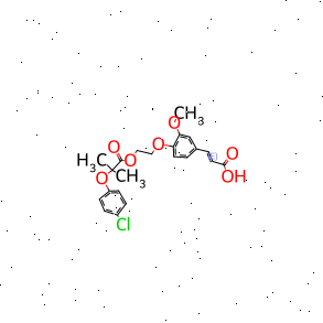 COc1cc(/C=C/C(=O)O)ccc1OCCOC(=O)C(C)(C)Oc1ccc(Cl)cc1